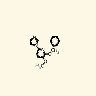 COc1ccc(-n2ccnc2)nc1OC.c1ccccc1